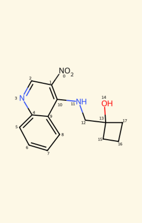 O=[N+]([O-])c1cnc2ccccc2c1NCC1(O)CCC1